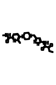 CCC(=O)C(=O)Nc1cc(CN2CCN(c3ccc(C(=O)NC)nc3C)CC2)ns1